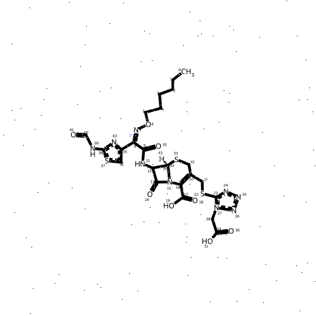 CCCCCCO/N=C(\C(=O)NC1C(=O)N2C(C(=O)O)=C(CSc3nnnn3CC(=O)O)CS[C@H]12)c1csc(NC=O)n1